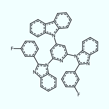 Fc1cccc(-c2nc3ccccc3n2-c2cc(-n3c4ccccc4c4ccccc43)cc(-n3c(-c4cccc(F)c4)nc4ccccc43)n2)c1